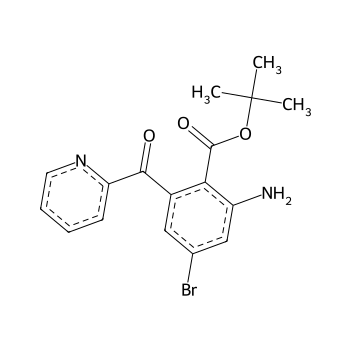 CC(C)(C)OC(=O)c1c(N)cc(Br)cc1C(=O)c1ccccn1